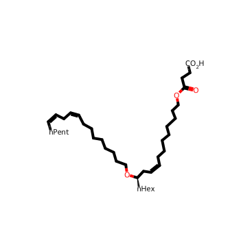 CCCCC/C=C\C/C=C\CCCCCCCCO[C@@H](C/C=C\CCCCCCCCOC(=O)CCC(=O)O)CCCCCC